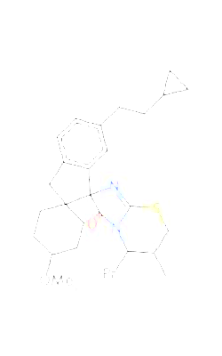 COC1CCC2(CC1)Cc1ccc(CCC3CC3)cc1C21N=C2SCC(C)C(C(C)C)N2C1=O